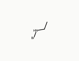 CCNBr